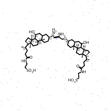 C[C@H](CCC(=O)NCCS(=O)(=O)O)[C@H]1CC[C@@H]2C3[C@@H](CC[C@@]21C)[C@@]1(C)CC[C@H](N(N)/C=C(\N)CO[C@@H]2CC[C@]4(C)C(C2)C[C@@H](O)C2[C@@H]5CC[C@@H]([C@@H](C)CCC(=O)NCCS(=O)(=O)O)[C@]5(C)CC[C@@H]24)CC1C[C@@H]3O